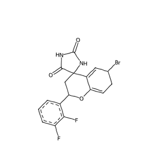 O=C1NC(=O)C2(CC(c3cccc(F)c3F)OC3=CCC(Br)C=C32)N1